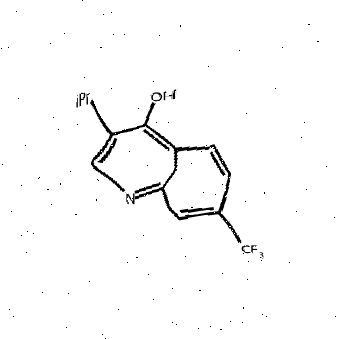 CC(C)c1cnc2cc(C(F)(F)F)ccc2c1O